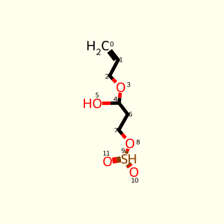 C=CCOC(O)CCO[SH](=O)=O